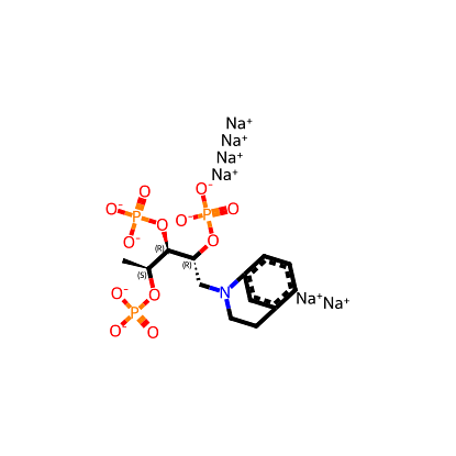 C[C@H](OP(=O)([O-])[O-])[C@@H](OP(=O)([O-])[O-])[C@@H](CN1CCc2cccc1c2)OP(=O)([O-])[O-].[Na+].[Na+].[Na+].[Na+].[Na+].[Na+]